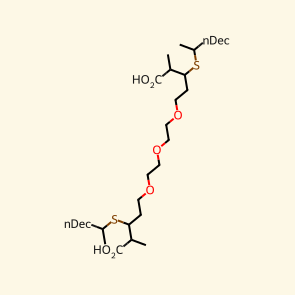 CCCCCCCCCCC(C)SC(CCOCCOCCOCCC(SC(C)CCCCCCCCCC)C(C)C(=O)O)C(C)C(=O)O